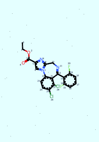 CCOC(=O)c1cn2c(n1)CN=C(c1c(F)cccc1F)c1c-2ccc(Cl)c1Cl